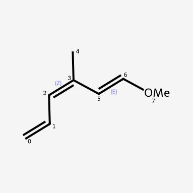 C=C/C=C(C)\C=C\OC